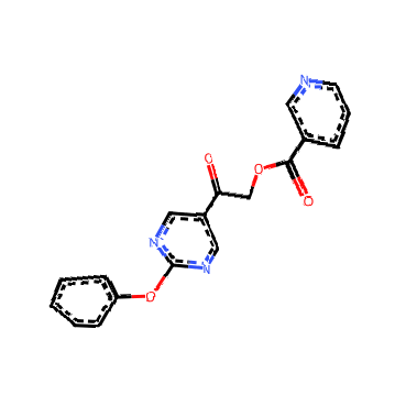 O=C(COC(=O)c1cccnc1)c1cnc(Oc2ccccc2)nc1